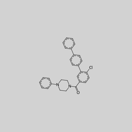 O=C(c1ccc(Cl)c(-c2ccc(-c3ccccc3)cc2)c1)N1CCN(c2ccccc2)CC1